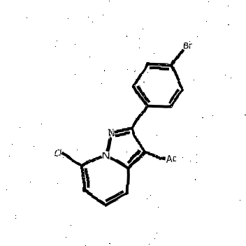 CC(=O)c1c(-c2ccc(Br)cc2)nn2c(Cl)cccc12